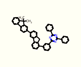 CC1(C)c2ccccc2-c2ccc(-c3ccc4c(c3)-c3cccc(-c5cccc(-c6nc(-c7ccccc7)nc(-c7ccccc7)n6)c5)c3C4)cc21